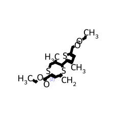 C=C1/C=C(/C(=O)OCC)SCC(C)C(c2sc(COOCC)cc2C)S1